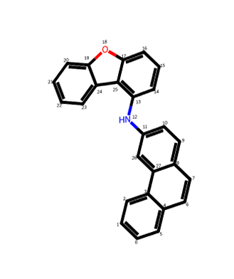 c1ccc2c(c1)ccc1ccc(Nc3cccc4oc5ccccc5c34)cc12